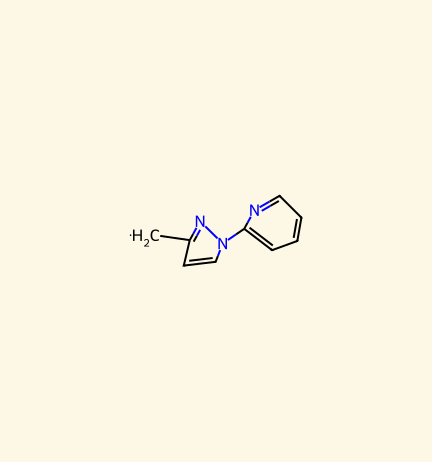 [CH2]c1ccn(-c2ccccn2)n1